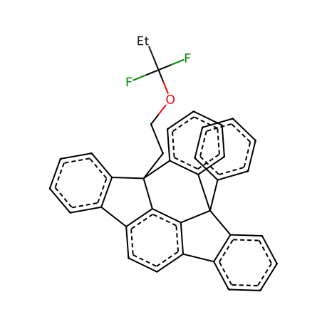 CCC(F)(F)OCCC12c3ccccc3-c3ccc4c(c31)C(c1ccccc1)(c1ccccc1-4)c1ccccc12